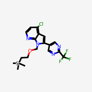 C[Si](C)(C)CCOCn1c(-c2cnc(C(F)(F)F)nc2)cc2c(Cl)ccnc21